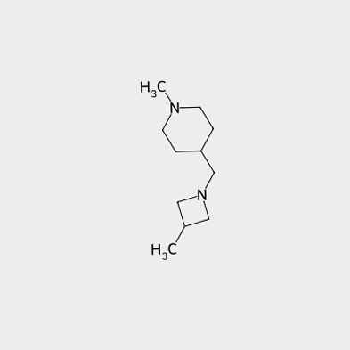 CC1CN(CC2CCN(C)CC2)C1